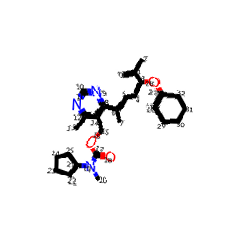 C=C(C)/C(=C\C=C(/C)c1ncnc(C)c1COC(=O)N(C)C1CCCC1)OC1CCCCC1